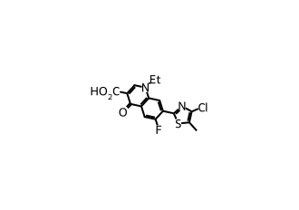 CCn1cc(C(=O)O)c(=O)c2cc(F)c(-c3nc(Cl)c(C)s3)cc21